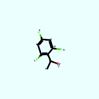 CC(Br)c1c(F)cc(F)cc1F